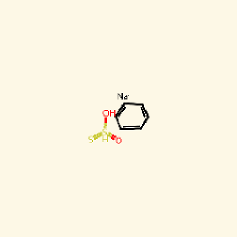 O=[SH](O)=S.[Na].c1ccccc1